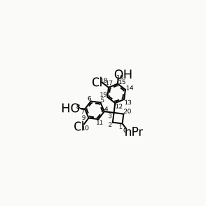 CCCC1CC(c2ccc(O)c(Cl)c2)(c2ccc(O)c(Cl)c2)C1